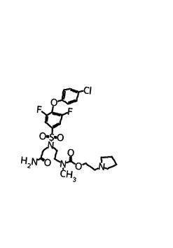 CN(CCN(CC(N)=O)S(=O)(=O)c1cc(F)c(Oc2ccc(Cl)cc2)c(F)c1)C(=O)OCCN1CCCC1